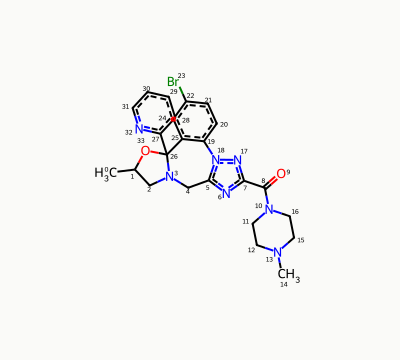 CC1CN2Cc3nc(C(=O)N4CCN(C)CC4)nn3-c3ccc(Br)cc3C2(c2ccccn2)O1